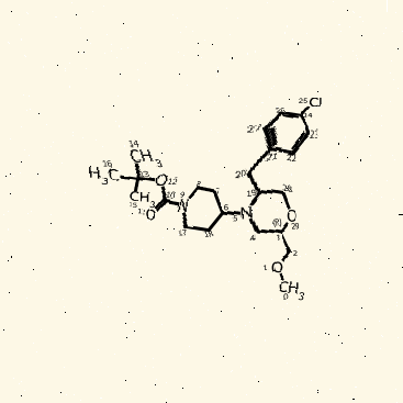 COC[C@H]1CN(C2CCN(C(=O)OC(C)(C)C)CC2)C(Cc2ccc(Cl)cc2)CO1